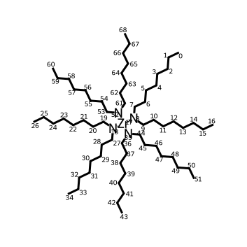 CCCCCCCC[N](CCCCCCCC)[Zr]([N](CCCCCCCC)CCCCCCCC)([N](CCCCCCCC)CCCCCCCC)[N](CCCCCCCC)CCCCCCCC